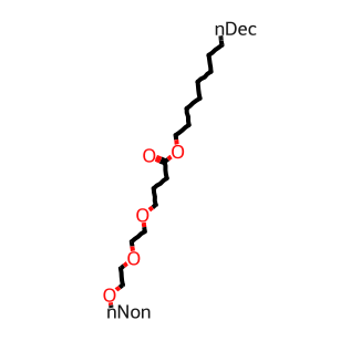 CCCCCCCCCCCCCCCCCCOC(=O)CCCOCCOCCOCCCCCCCCC